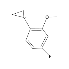 COc1cc(F)ccc1[C]1CC1